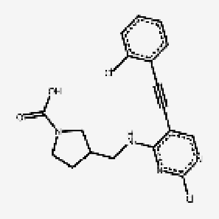 O=C(O)N1CCC(CNc2nc(Cl)ncc2C#Cc2ccccc2Cl)C1